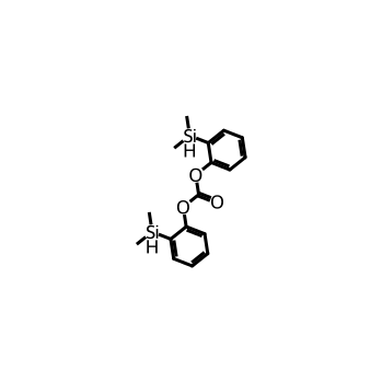 C[SiH](C)c1ccccc1OC(=O)Oc1ccccc1[SiH](C)C